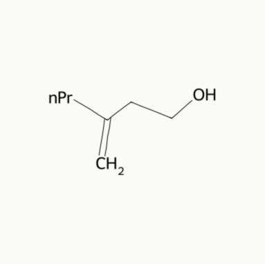 C=C(CCC)CCO